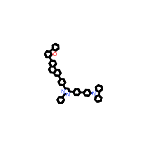 c1ccc(-c2nc(-c3ccc(-c4ccc(-n5c6ccccc6c6ccccc65)cc4)cc3)cc(-c3ccc(-c4ccc5c(ccc6cc(-c7cccc8c7oc7ccccc78)ccc65)c4)cc3)n2)cc1